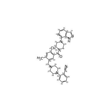 Cc1cc(C)c(C(=O)N2CCN(c3nccc4cn[nH]c34)CC2)cc1CN1CCN(c2ccccc2C#N)CC1